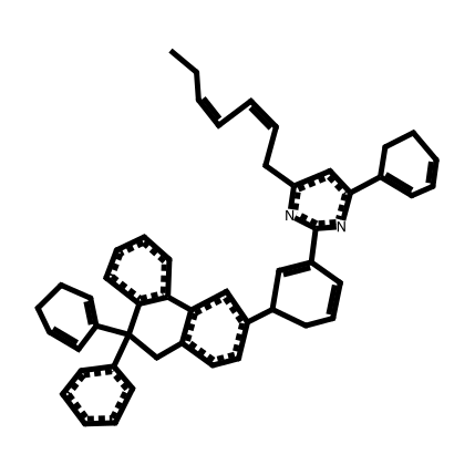 CC/C=C\C=C/Cc1cc(C2=CC=CCC2)nc(C2=CC(c3ccc4c(c3)-c3ccccc3C(C3=CCCC=C3)(c3ccccc3)C4)CC=C2)n1